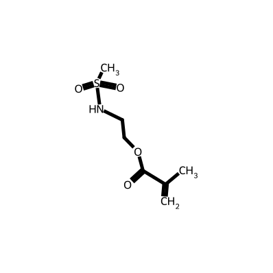 C=C(C)C(=O)OCCNS(C)(=O)=O